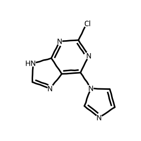 Clc1nc(-n2ccnc2)c2nc[nH]c2n1